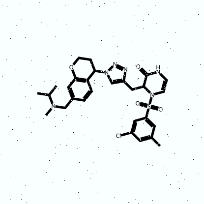 Cc1cc(Cl)cc(S(=O)(=O)N2C=CNC(=O)C2Cc2cn(C3CCOc4cc(CN(C)C(C)C)ccc43)nn2)c1